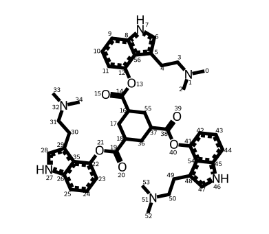 CN(C)CCc1c[nH]c2cccc(OC(=O)C3CC(C(=O)Oc4cccc5[nH]cc(CCN(C)C)c45)CC(C(=O)Oc4cccc5[nH]cc(CCN(C)C)c45)C3)c12